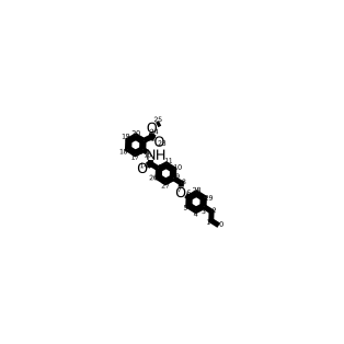 CCCc1ccc(OCc2ccc(C(=O)Nc3ccccc3C(=O)OC)cc2)cc1